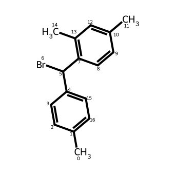 Cc1ccc(C(Br)c2ccc(C)cc2C)cc1